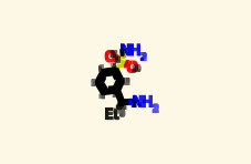 CCC(N)c1cccc(S(N)(=O)=O)c1